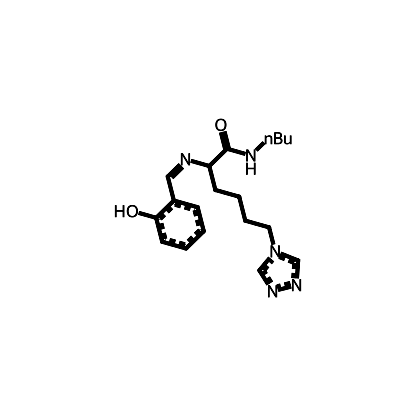 CCCCNC(=O)C(CCCCn1cnnc1)/N=C\c1ccccc1O